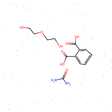 NC(N)=O.O=C(O)c1ccccc1C(=O)O.OCCOCCO